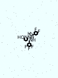 O=C(/N=C(/NCc1cc(F)c(F)c(F)c1)Nc1cccc(O)n1)c1ccc(F)c(F)c1